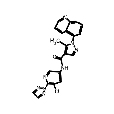 Cc1c(C(=O)Nc2cnc(-n3nccn3)c(Cl)c2)cnn1-c1cccc2ncccc12